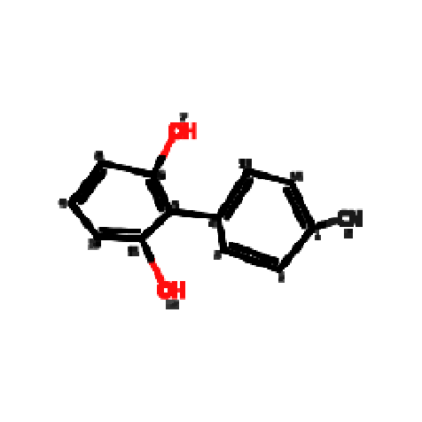 N#Cc1ccc(-c2c(O)cccc2O)cc1